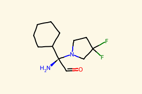 N[C@@](C=O)(C1CCCCC1)N1CCC(F)(F)C1